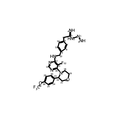 N=NNC(=N)Cc1ccc(CNc2ncnc(N3CCOCC3c3ccc(OC(F)(F)F)cc3)c2F)cc1